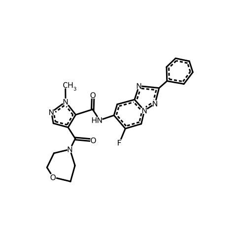 Cn1ncc(C(=O)N2CCOCC2)c1C(=O)Nc1cc2nc(-c3ccccc3)nn2cc1F